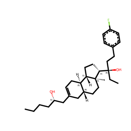 CCCC[C@H](O)CC1=CC[C@@H]2[C@H](CC[C@]3(C)[C@@H]([C@@](O)(CC)CCc4ccc(F)cc4)CC[C@@H]23)C1